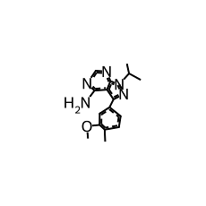 COc1cc(-c2nn(C(C)C)c3ncnc(N)c23)ccc1C